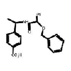 CC(NC(=O)C(OCc1ccccc1)C(C)C)c1ccc(C(=O)O)cc1